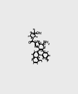 Cc1ccnc2ccc(-c3c(-c4ccc(F)cc4)nc(N)c4nc(C(=O)N5CCC(C)(O)C5)cn34)cc12